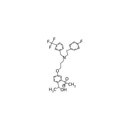 CC(O)c1ccc(OCCCN(CCc2ccc(F)cc2)Cc2cccc(C(F)(F)F)c2)cc1S(C)(=O)=O